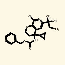 NCC(O)(c1cc2c(c(Cl)n1)OCCC2(NC(=O)OCc1ccccc1)C1CC1)C(F)(F)F